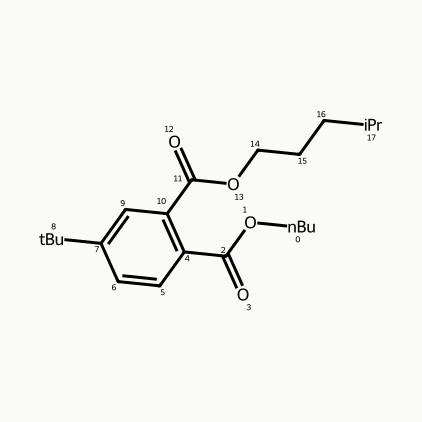 CCCCOC(=O)c1ccc(C(C)(C)C)cc1C(=O)OCCCC(C)C